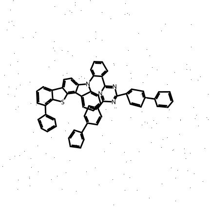 c1ccc(-c2ccc(-c3nc(-c4ccc(-c5ccccc5)cc4)nc(-c4ccccc4-n4c5ccccc5c5c6sc7c(-c8ccccc8)cccc7c6ccc54)n3)cc2)cc1